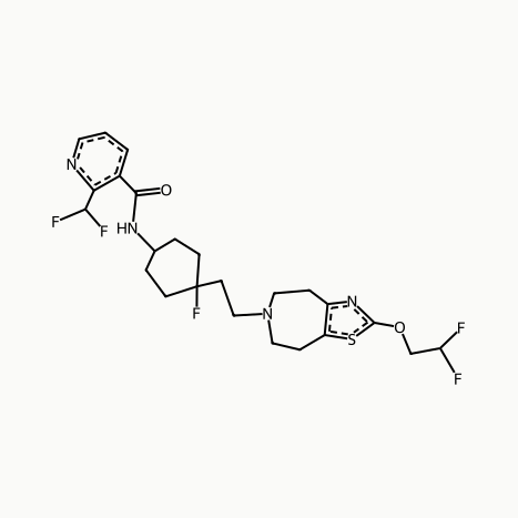 O=C(NC1CCC(F)(CCN2CCc3nc(OCC(F)F)sc3CC2)CC1)c1cccnc1C(F)F